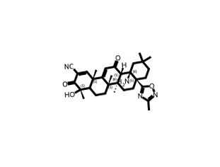 Cc1noc([C@]23CCC(C)(C)C[C@@]2(N)[C@H]2C(=O)C=C4[C@@]5(C)C=C(C#N)C(=O)[C@@](C)(O)C5CC[C@@]4(C)[C@]2(C)CC3)n1